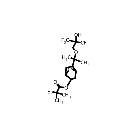 CCC(C)(C)C(=O)OC1CC2OC1CC2C(C)(C)OCC(O)(C(F)(F)F)C(F)(F)F